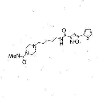 CNC(=O)N1CCN(CCCCCNC(=O)c2cc(-c3cccs3)on2)CC1